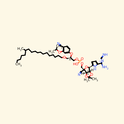 CCCCCC(C)CCCCCCCCCCCCOC[C@H](COP(=O)(O)OC[C@@]1(C#N)O[C@@H](c2ccc(/C(N)=N\C=N)[nH]2)[C@@H]2OC(C)(C)O[C@@H]21)Oc1ccc(C#N)c(OC(C)C)c1